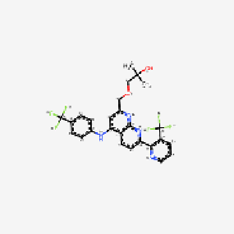 CC(C)(O)COCc1cc(Nc2ccc(C(F)(F)F)cc2)c2ccc(-c3ncccc3C(F)(F)F)nc2n1